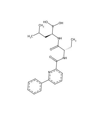 CC[C@H](NC(=O)c1cccc(-c2ccccc2)n1)C(=O)N[C@@H](CC(C)C)B(O)O